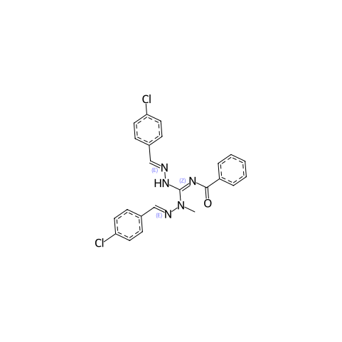 CN(/N=C/c1ccc(Cl)cc1)/C(=N\C(=O)c1ccccc1)N/N=C/c1ccc(Cl)cc1